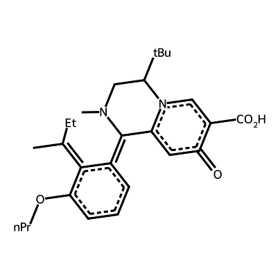 CCCOc1cccc(=C2\c3cc(=O)c(C(=O)O)cn3C(C(C)(C)C)CN2C)/c1=C(/C)CC